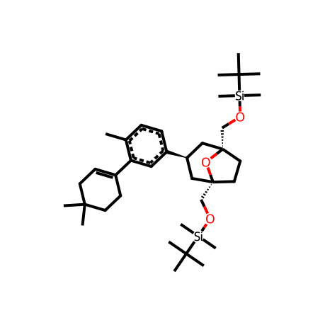 Cc1ccc([C@H]2C[C@@]3(CO[Si](C)(C)C(C)(C)C)CC[C@@](CO[Si](C)(C)C(C)(C)C)(C2)O3)cc1C1=CCC(C)(C)CC1